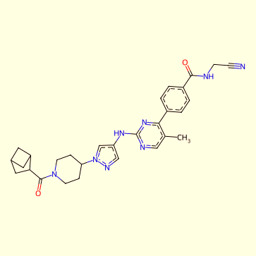 Cc1cnc(Nc2cnn(C3CCN(C(=O)C4CC5CC4C5)CC3)c2)nc1-c1ccc(C(=O)NCC#N)cc1